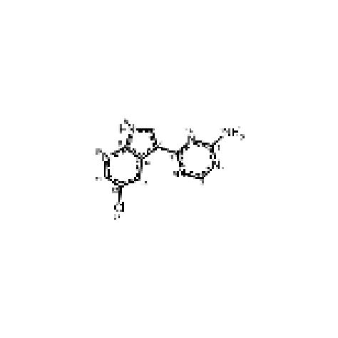 Nc1ncnc(-c2c[nH]c3ncc(Cl)cc23)n1